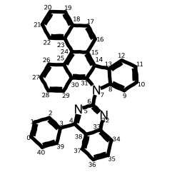 c1ccc(-c2nc(-n3c4ccccc4c4c5ccc6ccccc6c5c5ccccc5c43)nc3ccccc23)cc1